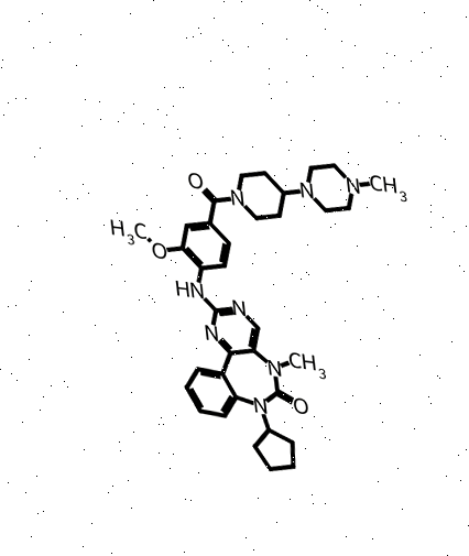 COc1cc(C(=O)N2CCC(N3CCN(C)CC3)CC2)ccc1Nc1ncc2c(n1)-c1ccccc1N(C1CCCC1)C(=O)N2C